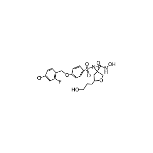 O=C(NO)C1(NS(=O)(=O)c2ccc(OCc3ccc(Cl)cc3F)cc2)COC(CCCO)C1